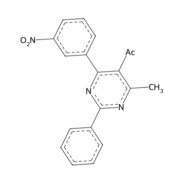 CC(=O)c1c(C)nc(-c2ccccc2)nc1-c1cccc([N+](=O)[O-])c1